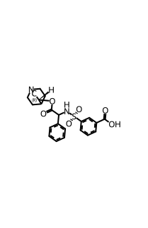 O=C(O)c1cccc(S(=O)(=O)NC(C(=O)O[C@H]2CN3CCC2CC3)c2ccccc2)c1